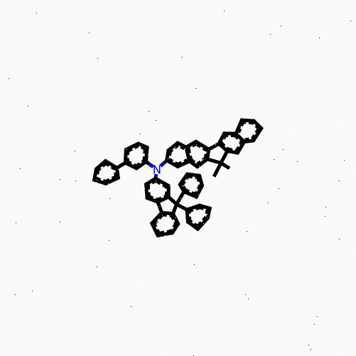 CC1(C)c2cc3ccccc3cc2-c2cc3ccc(N(c4cccc(-c5ccccc5)c4)c4ccc5c(c4)C(c4ccccc4)(c4ccccc4)c4ccccc4-5)cc3cc21